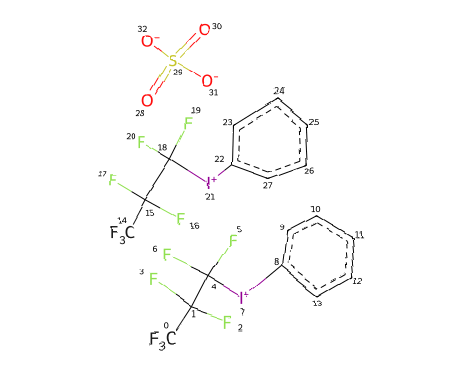 FC(F)(F)C(F)(F)C(F)(F)[I+]c1ccccc1.FC(F)(F)C(F)(F)C(F)(F)[I+]c1ccccc1.O=S(=O)([O-])[O-]